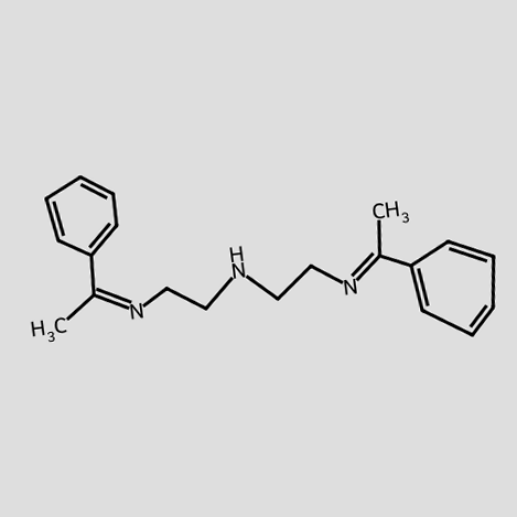 CC(=NCCNCCN=C(C)c1ccccc1)c1ccccc1